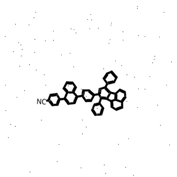 N#Cc1ccc(-c2ccc(-c3ccc(-c4cc(-c5ccccc5)c5c(c4-c4ccccc4)-c4cccc6cccc-5c46)cc3)c3ccccc23)cc1